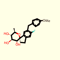 COc1ccc(Cc2cc3c(cc2F)CC[C@]32O[C@H](C)[C@@H](O)[C@H](O)[C@H]2O)cc1